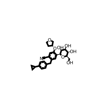 N#Cc1cc(O[C@@H]2CCOC2)c([C@@H]2O[C@H](CO)[C@@H](O)[C@H](O)[C@H]2O)cc1Cc1ccc(C2CC2)cc1